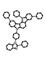 c1ccc(-c2ccc3c(c2)c2c(ccc4c5cc(-c6ccccc6)ccc5n(-c5ccccc5)c42)n3-c2ccc(-n3c(-c4ccccc4)nc4ccccc43)cc2)cc1